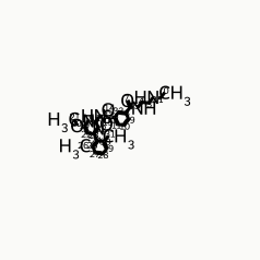 CCNCCNC(=O)c1cccc(S(=O)(=O)Nc2nc(OC)cc(-c3c(C)cccc3C)n2)c1